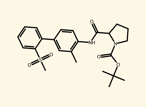 Cc1cc(-c2ccccc2S(C)(=O)=O)ccc1NC(=O)C1CCCN1C(=O)OC(C)(C)C